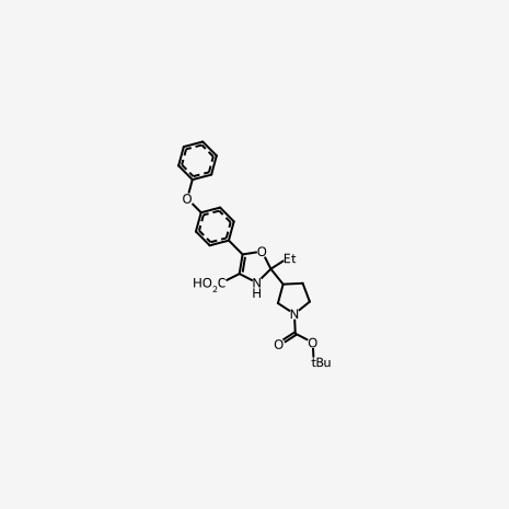 CCC1(C2CCN(C(=O)OC(C)(C)C)C2)NC(C(=O)O)=C(c2ccc(Oc3ccccc3)cc2)O1